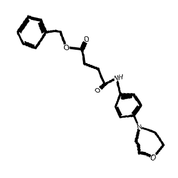 O=C(CCC(=O)OCc1ccccc1)Nc1ccc(N2CCOCC2)cc1